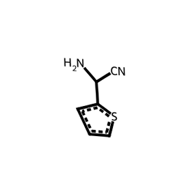 N#CC(N)c1cccs1